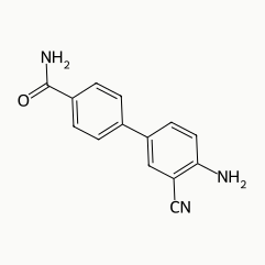 N#Cc1cc(-c2ccc(C(N)=O)cc2)ccc1N